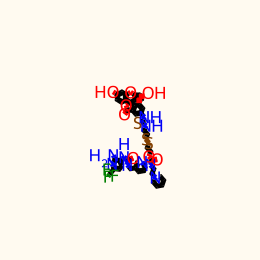 Nc1nc(C(F)(F)F)cc2c1[nH]c(=O)n2Cc1ccc(N(CCN2CCCCC2)C(=O)OCCSSCCNC(=S)Nc2ccc3c(c2)C(=O)OC32c3ccc(O)cc3Oc3cc(O)ccc32)nc1